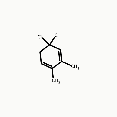 CC1=CCC(Cl)(Cl)C=C1C